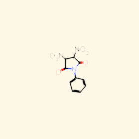 O=C1C([N+](=O)[O-])C([N+](=O)[O-])C(=O)N1c1ccccc1